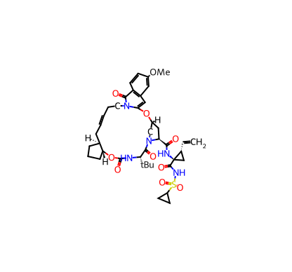 C=C[C@@H]1C[C@]1(NC(=O)[C@@H]1C[C@@H]2CN1C(=O)[C@H](C(C)(C)C)NC(=O)O[C@@H]1CCC[C@H]1C/C=C/CCn1c(cc3cc(OC)ccc3c1=O)O2)C(=O)NS(=O)(=O)C1CC1